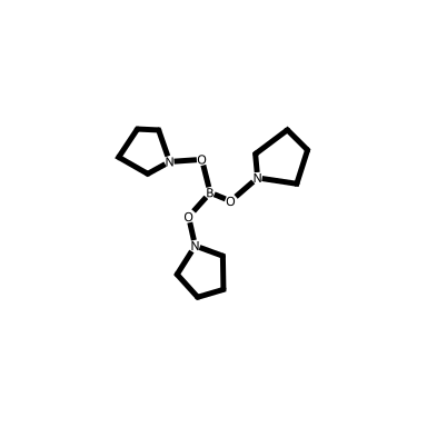 C1CCN(OB(ON2CCCC2)ON2CCCC2)C1